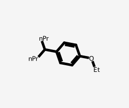 CCCC(CCC)c1ccc(OCC)cc1